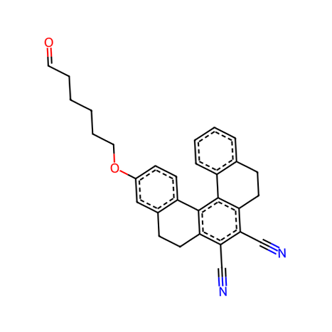 N#Cc1c(C#N)c2c(c3c1CCc1ccccc1-3)-c1ccc(OCCCCCC=O)cc1CC2